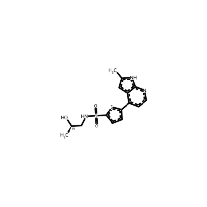 Cc1cc2c(-c3ccc(S(=O)(=O)NC[C@@H](C)O)s3)ccnc2[nH]1